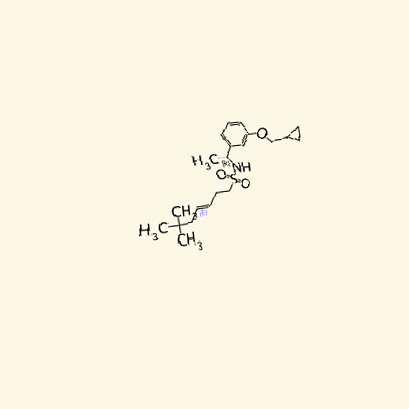 C[C@@H](NS(=O)(=O)CC/C=C/CC(C)(C)C)c1cccc(OCC2CC2)c1